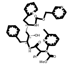 COC(=O)N(c1cccc(C)n1)C(C(=O)N[C@@H](Cc1ccccc1)[C@@H](O)C[C@H](Cc1ccccc1)NC(=O)OCc1cccnc1)C(C)C